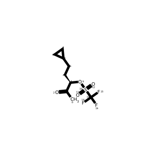 CC(=O)[C@@H](CCC1CC1)OS(=O)(=O)C(F)(F)F